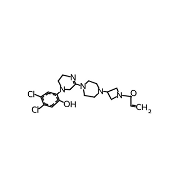 C=CC(=O)N1CC(N2CCN(C3=NCCN(c4cc(Cl)c(Cl)cc4O)C3)CC2)C1